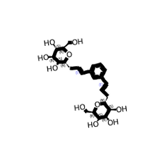 OC[C@H]1O[C@H](C/C=C/c2cccc(/C=C/C[C@H]3O[C@H](CO)[C@@H](O)[C@H](O)[C@@H]3O)c2)[C@@H](O)[C@@H](O)[C@@H]1O